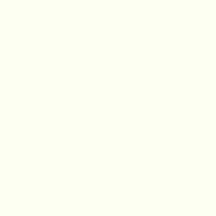 C=CC1CC1OC(=O)CC